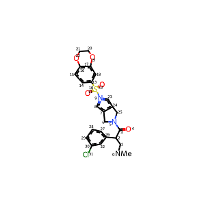 CNCC(C(=O)N1Cc2cn(S(=O)(=O)c3ccc4c(c3)OCCO4)cc2C1)c1cccc(Cl)c1